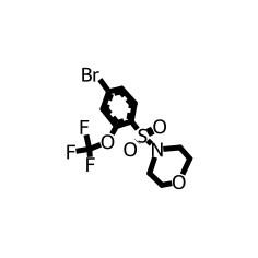 O=S(=O)(c1ccc(Br)cc1OC(F)(F)F)N1CCOCC1